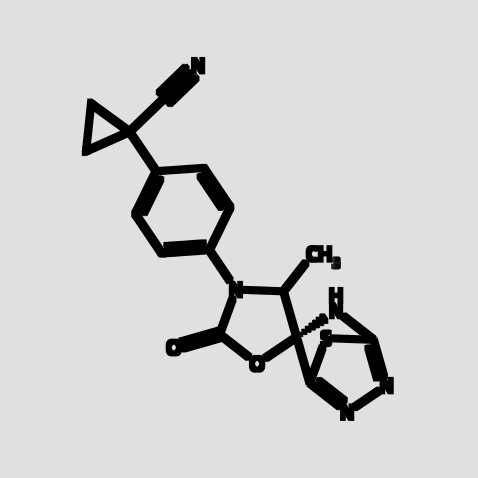 CC1N(c2ccc(C3(C#N)CC3)cc2)C(=O)O[C@@]12Nc1nnc2s1